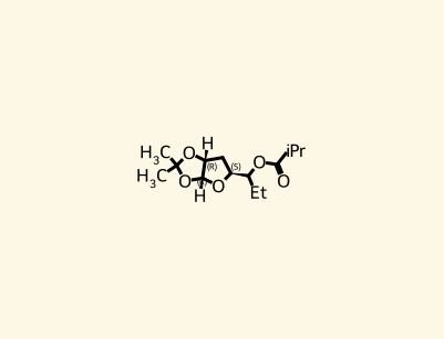 CCC(OC(=O)C(C)C)[C@@H]1C[C@H]2OC(C)(C)O[C@H]2O1